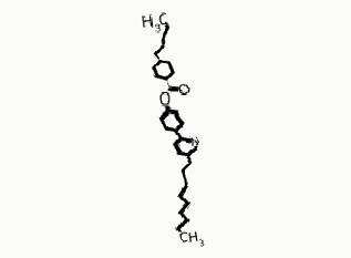 CCCCCCCCCc1ccc(-c2ccc(OC(=O)[C@H]3CC[C@H](CCCCC)CC3)cc2)nc1